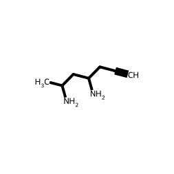 C#CCC(N)CC(C)N